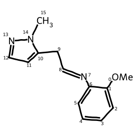 COc1ccccc1N=CCc1ccnn1C